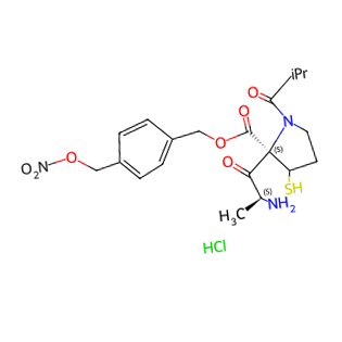 CC(C)C(=O)N1CCC(S)[C@@]1(C(=O)OCc1ccc(CO[N+](=O)[O-])cc1)C(=O)[C@H](C)N.Cl